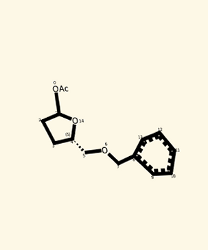 CC(=O)OC1CC[C@@H](COCc2ccccc2)O1